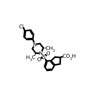 C[C@@H]1CN(c2ccc(Cl)cc2)C[C@H](C)N1S(=O)(=O)c1cccc2c1CC(C(=O)O)C2